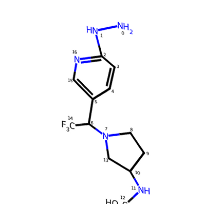 NNc1ccc(C(N2CCC(NC(=O)O)C2)C(F)(F)F)cn1